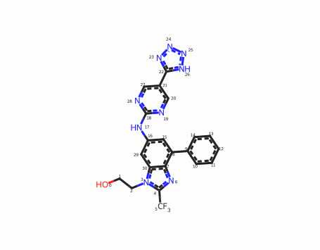 OCCn1c(C(F)(F)F)nc2c(-c3ccccc3)cc(Nc3ncc(-c4nnn[nH]4)cn3)cc21